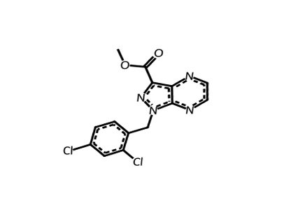 COC(=O)c1nn(Cc2ccc(Cl)cc2Cl)c2nccnc12